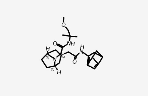 COCC(C)(C)NC(=O)CN1[C@@H]2CC[C@H]1C[C@H](CC(=O)NC1=C3C=C4C(C1)CC43)C2